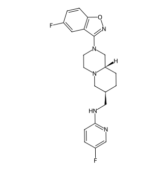 Fc1ccc(NC[C@@H]2CC[C@H]3CN(c4noc5ccc(F)cc45)CCN3C2)nc1